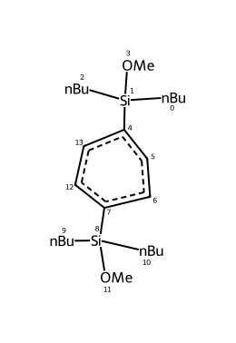 CCCC[Si](CCCC)(OC)c1ccc([Si](CCCC)(CCCC)OC)cc1